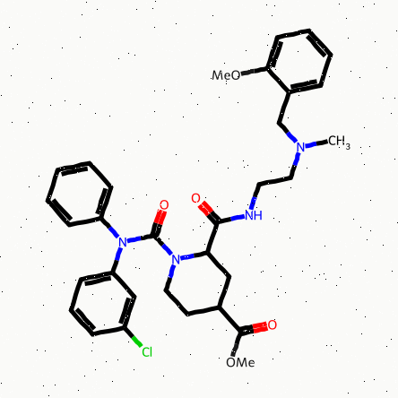 COC(=O)C1CCN(C(=O)N(c2ccccc2)c2cccc(Cl)c2)C(C(=O)NCCN(C)Cc2ccccc2OC)C1